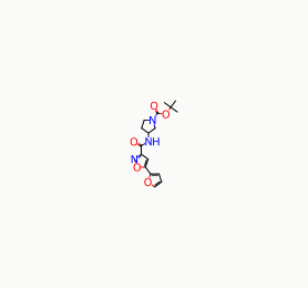 CC(C)(C)OC(=O)N1CCC(NC(=O)c2cc(-c3ccco3)on2)C1